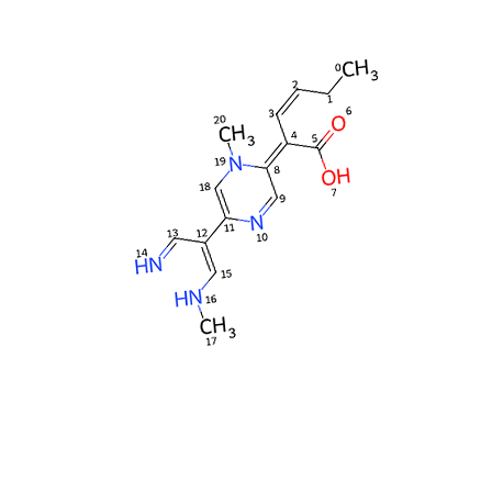 CC/C=C\C(C(=O)O)=C1\C=NC(/C(C=N)=C/NC)=CN1C